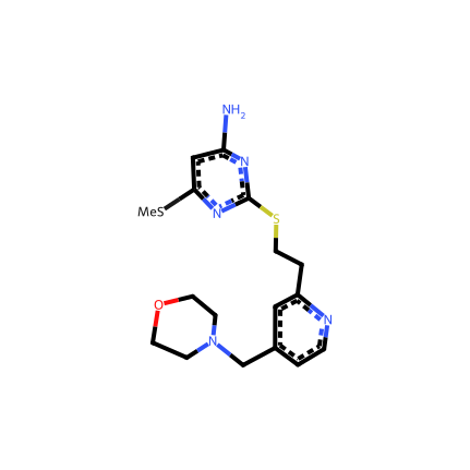 CSc1cc(N)nc(SCCc2cc(CN3CCOCC3)ccn2)n1